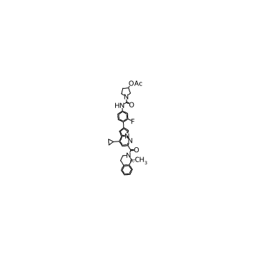 CC(=O)OC1CCN(C(=O)Nc2ccc(-c3cc4c(C5CC5)cc(C(=O)N5CCc6ccccc6[C@H]5C)nn4c3)c(F)c2)C1